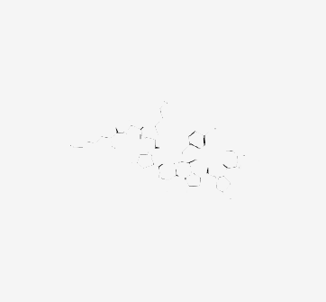 C[C@H](NC(=O)[C@@H](N)CCCCN)C(=O)N[C@@H](CCCCN)C(=O)N1C[C@H](O)C[C@H]1C(=O)N[C@@H](CO)C(=O)N[C@@H](Cc1ccc(O)cc1)C(=O)N1C[C@H](O)C[C@H]1C(=O)N1C[C@H](O)C[C@H]1C(=O)N[C@H](C(=O)O)[C@@H](C)O